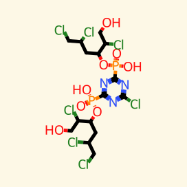 O=P(O)(OC(CC(Cl)CCl)C(Cl)CO)c1nc(Cl)nc(P(=O)(O)OC(CC(Cl)CCl)C(Cl)CO)n1